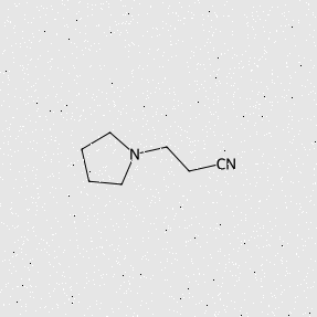 N#CCCN1CCCC1